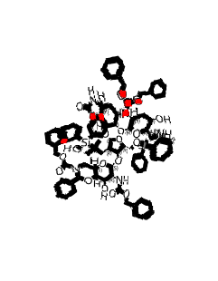 CC(C)(C[C@H]1[C@H](O[C@@H]2[C@H]3OC(=O)N[C@@H]3C[C@H](NC(=O)OCc3ccccc3)[C@H]2O[C@H]2O[C@H](CN)[C@@H](O)C[C@H]2NC(=O)OCc2ccccc2)O[C@H](CO[Si](c2ccccc2)(c2ccccc2)C(C)(C)C)[C@H]1O[C@H]1O[C@H]2CN(C(=O)OCc3ccccc3)C(c3ccccc3)O[C@H]2[C@H](O)[C@H]1NC(=O)OCc1ccccc1)[Si](O)(c1ccccc1)c1ccccc1